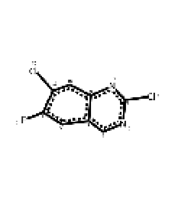 Fc1cc2cnc(Cl)nc2cc1Cl